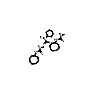 CCN(C(=O)S)C1CCCCC1.CN(C)C(=O)NC1CCCCCCC1.CN(C)C(=O)NC1CCCCCCC1